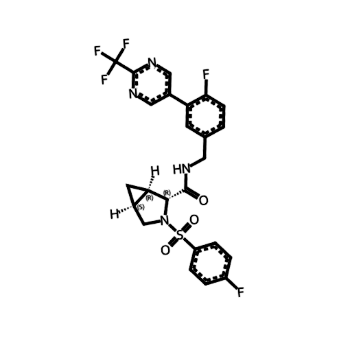 O=C(NCc1ccc(F)c(-c2cnc(C(F)(F)F)nc2)c1)[C@H]1[C@@H]2C[C@@H]2CN1S(=O)(=O)c1ccc(F)cc1